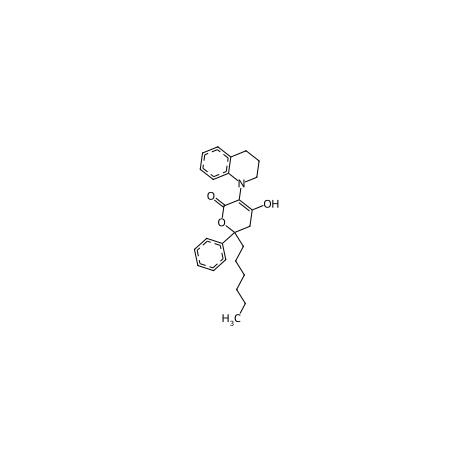 CCCCCCC1(c2ccccc2)CC(O)=C(N2CCCc3ccccc32)C(=O)O1